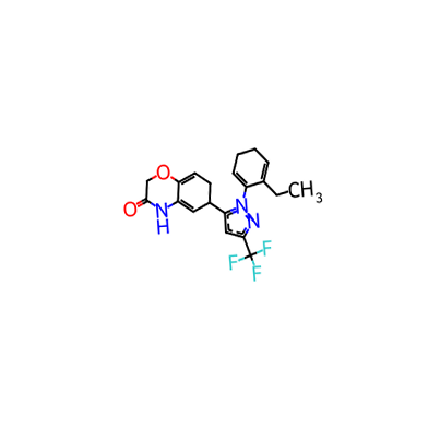 CCC1=CCCC=C1n1nc(C(F)(F)F)cc1C1C=C2NC(=O)COC2=CC1